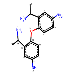 CC(N)c1cc(N)ccc1Oc1ccc(N)cc1C(C)N